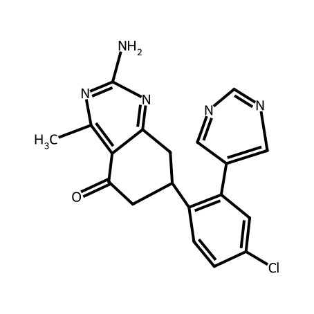 Cc1nc(N)nc2c1C(=O)CC(c1ccc(Cl)cc1-c1cncnc1)C2